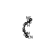 N#Cc1cccc(S(=O)(=O)NCc2ccc(OCCCOc3ccc(CNS(=O)(=O)c4cccc(C#N)c4)cc3)cc2)c1